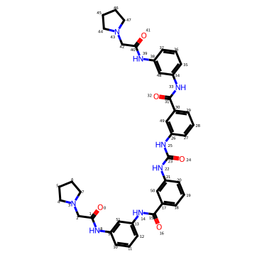 O=C(CN1CCCC1)Nc1cccc(NC(=O)c2cccc(NC(=O)Nc3cccc(C(=O)Nc4cccc(NC(=O)CN5CCCC5)c4)c3)c2)c1